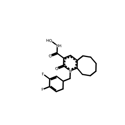 O=C(NO)c1cc2c(n(CC3C=C(F)C(F)=CC3)c1=O)CCCCCC2